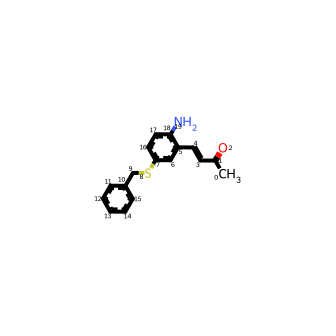 CC(=O)/C=C/c1cc(SCc2ccccc2)ccc1N